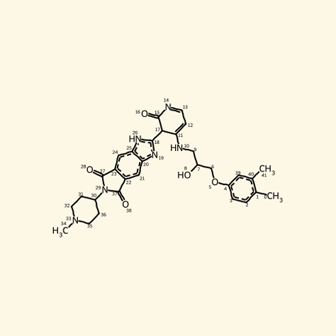 Cc1ccc(OCC(O)CNC2=CC=NC(=O)C2c2nc3cc4c(cc3[nH]2)C(=O)N(C2CCN(C)CC2)C4=O)cc1C